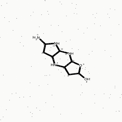 NC1CC2NC3CC(O)OC3NC2N1